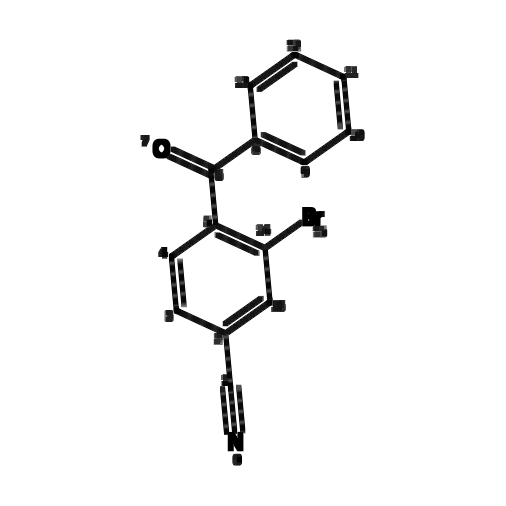 N#Cc1ccc(C(=O)c2ccccc2)c(Br)c1